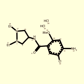 CCN1CC(NC(=O)c2cc(Cl)c(N)cc2OC)CN1CC.Cl.Cl